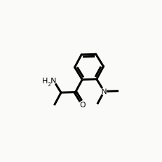 CC(N)C(=O)c1ccccc1N(C)C